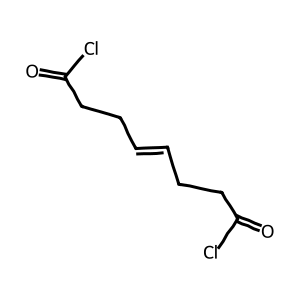 O=C(Cl)CCC=CCCC(=O)Cl